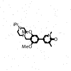 COc1cc(-c2cc(C)c(=O)n(C)c2)cc(OC)c1CN1CCN(C(C)C)CC1